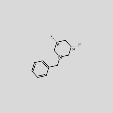 C[C@@H]1C[C@H](F)CN(Cc2ccccc2)C1